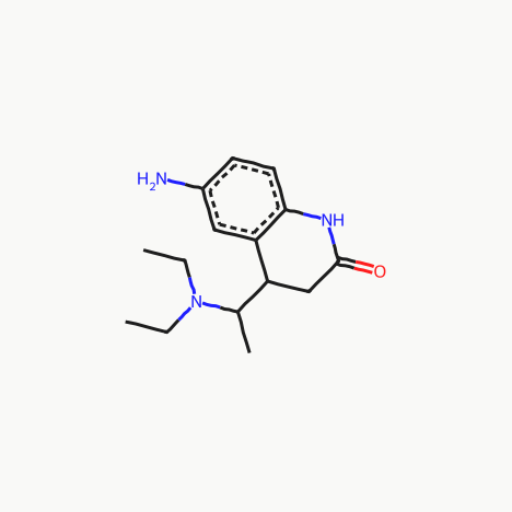 CCN(CC)C(C)C1CC(=O)Nc2ccc(N)cc21